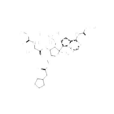 CCCCCC(=O)Nc1ncnn2c([C@]3(C#N)O[C@H](COC(=O)CC4CCCC4)[C@@H](OC(=O)[C@@H](NC(=O)OC(C)(C)C)C(C)(C)C)[C@H]3O[Si](C)(C)C)ccc12